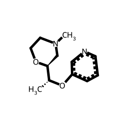 C[C@@H](Oc1cccnc1)[C@@H]1CN(C)CCO1